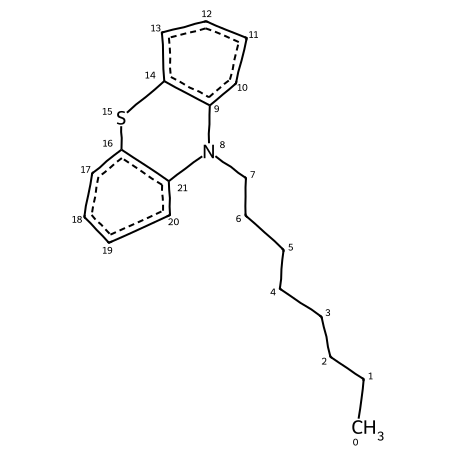 CCCCCCCCN1c2ccccc2Sc2ccccc21